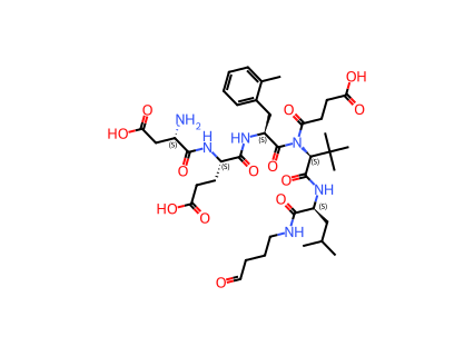 Cc1ccccc1C[C@H](NC(=O)[C@H](CCC(=O)O)NC(=O)[C@@H](N)CC(=O)O)C(=O)N(C(=O)CCC(=O)O)[C@H](C(=O)N[C@@H](CC(C)C)C(=O)NCCCC=O)C(C)(C)C